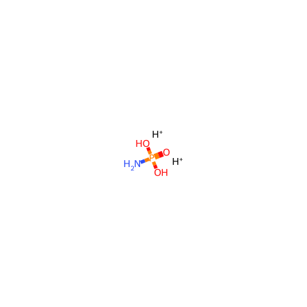 NP(=O)(O)O.[H+].[H+]